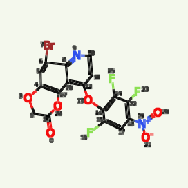 O=C1COc2cc(Br)c3nccc(Oc4c(F)cc([N+](=O)[O-])c(F)c4F)c3c2O1